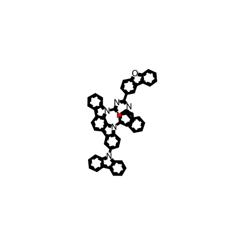 c1ccc(-c2nc(-c3ccc4oc5ccccc5c4c3)nc(-n3c4ccccc4c4ccc5c6cc(-n7c8ccccc8c8ccccc87)ccc6n(-c6ccccc6)c5c43)n2)cc1